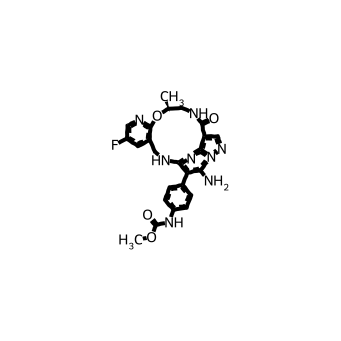 COC(=O)Nc1ccc(-c2c3nc4c(cnn4c2N)C(=O)NC[C@H](C)Oc2ncc(F)cc2CN3)cc1